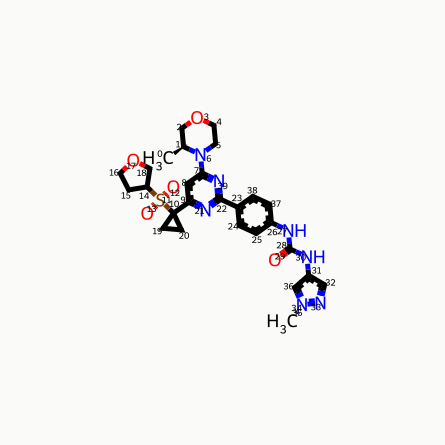 C[C@H]1COCCN1c1cc(C2(S(=O)(=O)C3CCOC3)CC2)nc(-c2ccc(NC(=O)Nc3cnn(C)c3)cc2)n1